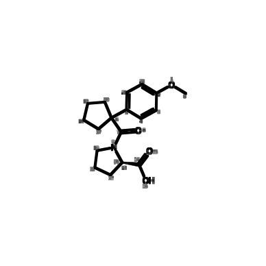 COc1ccc(C2(C(=O)N3CCC[C@@H]3C(=O)O)CCCC2)cc1